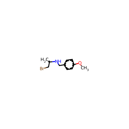 C=C(CBr)NCc1ccc(OC)cc1